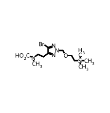 CN(CCc1nn(COCC[Si](C)(C)C)nc1Br)C(=O)O